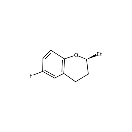 CC[C@H]1CCc2cc(F)ccc2O1